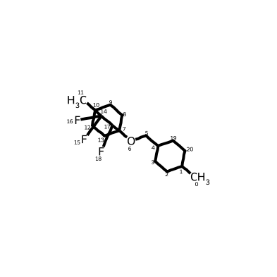 CC1CCC(COC23CCC(C)(CC2)C(F)(F)C3F)CC1